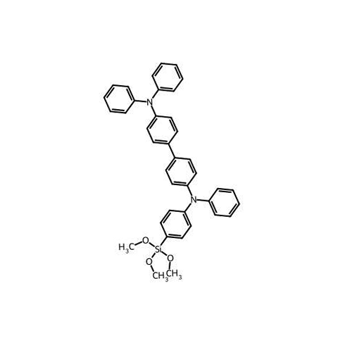 CO[Si](OC)(OC)c1ccc(N(c2ccccc2)c2ccc(-c3ccc(N(c4ccccc4)c4ccccc4)cc3)cc2)cc1